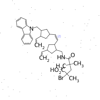 C=CC1CC(/C=C\C2CC(C=C)C(Cn3c4ccccc4c4ccccc43)C2)C(CNC(=O)C(C)(C)CC(C)(Br)C(=O)O)C1